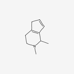 CC1C2=C(CC=C2)CCN1C